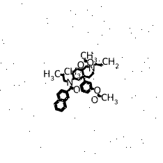 C=CCN1CCC2(c3cccc(OC(C)=O)c3)CC(N(CC(C)C)C(=O)c3ccc4ccccc4c3)CCC2(OC(C)=O)C1